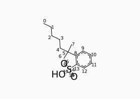 CCCCCC(C)(C)c1ccccc1S(=O)(=O)O